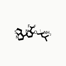 CC(C)C[C@](C)(N)COc1ccc(-c2ccnc3sccc23)nc1C(F)F